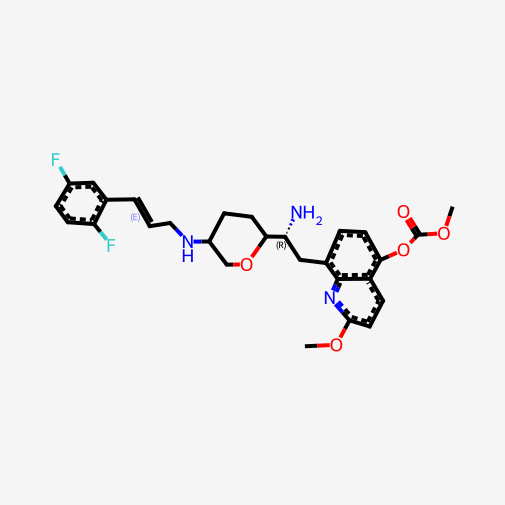 COC(=O)Oc1ccc(C[C@@H](N)C2CCC(NC/C=C/c3cc(F)ccc3F)CO2)c2nc(OC)ccc12